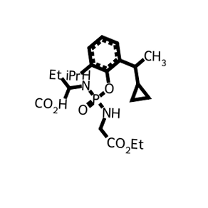 CCOC(=O)CNP(=O)(NC(CC)C(=O)O)Oc1c(C(C)C)cccc1C(C)C1CC1